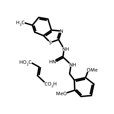 COc1cccc(OC)c1CNC(=N)Nc1nc2ccc(C)cc2s1.O=C(O)/C=C/C(=O)O